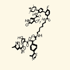 Cc1cc([C@H](C(=O)N2C[C@H](O)C[C@H]2C(=O)N[C@@H](CC(=O)NCCCCCCNC(=O)c2ccc(F)c(-c3ccc(N4C[C@@H](C)N(C)[C@@H](C)C4)c(NC(=O)c4c[nH]c(=O)cc4C(F)(F)F)c3)c2)c2ccc(-c3scnc3C)cc2)C(C)C)on1